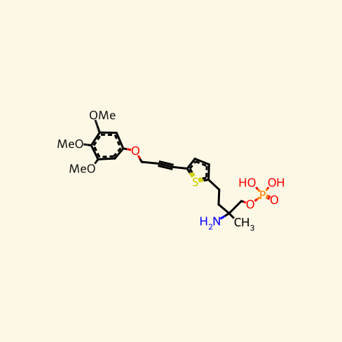 COc1cc(OCC#Cc2ccc(CCC(C)(N)COP(=O)(O)O)s2)cc(OC)c1OC